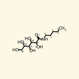 CCCCCNC(=O)C(O)C(O)C(O)C(O)CO